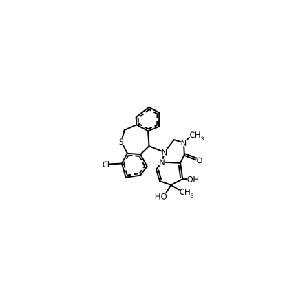 CN1CN(C2c3ccccc3CSc3c(Cl)cccc32)N2C=CC(C)(O)C(O)=C2C1=O